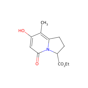 CCOC(=O)C1CCc2c(C)c(O)cc(=O)n21